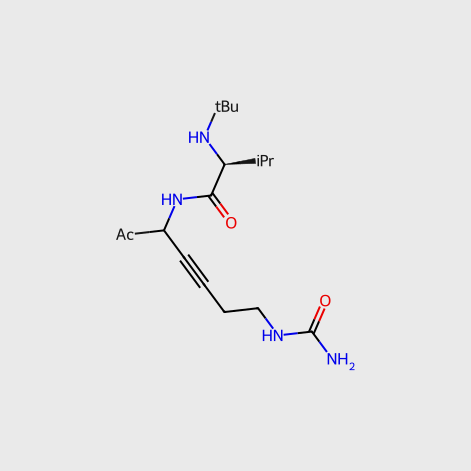 CC(=O)C(C#CCCNC(N)=O)NC(=O)[C@@H](NC(C)(C)C)C(C)C